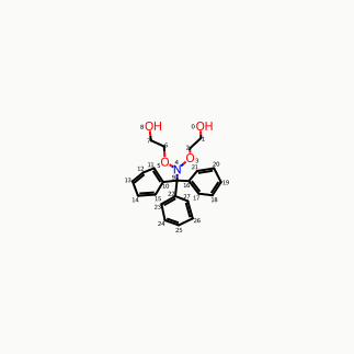 OCCON(OCCO)C(c1ccccc1)(c1ccccc1)c1ccccc1